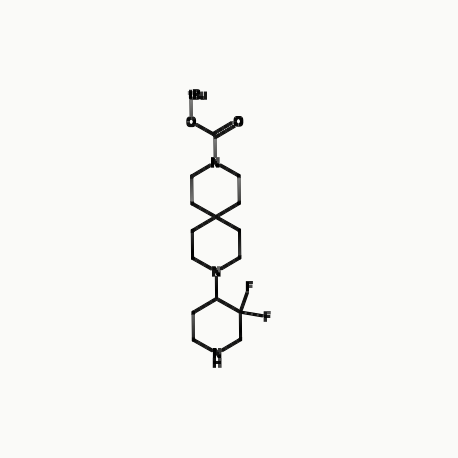 CC(C)(C)OC(=O)N1CCC2(CC1)CCN(C1CCNCC1(F)F)CC2